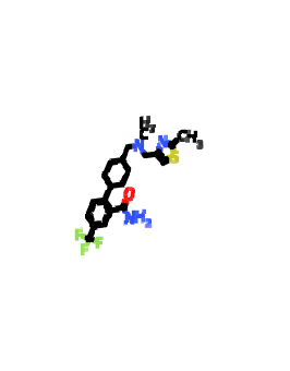 Cc1nc(CN(C)CC2CCC(c3ccc(C(F)(F)F)cc3C(N)=O)CC2)cs1